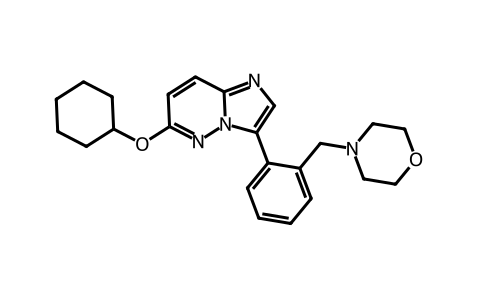 c1ccc(-c2cnc3ccc(OC4CCCCC4)nn23)c(CN2CCOCC2)c1